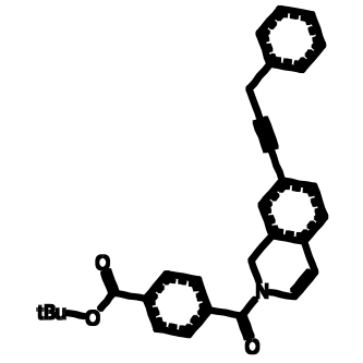 CC(C)(C)OC(=O)c1ccc(C(=O)N2C=Cc3ccc(C#CCc4ccccc4)cc3C2)cc1